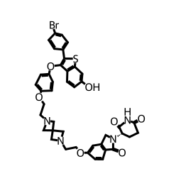 O=C1CC[C@H](N2Cc3cc(OCCN4CC5(CN(CCOc6ccc(Oc7c(-c8ccc(Br)cc8)sc8cc(O)ccc78)cc6)C5)C4)ccc3C2=O)C(=O)N1